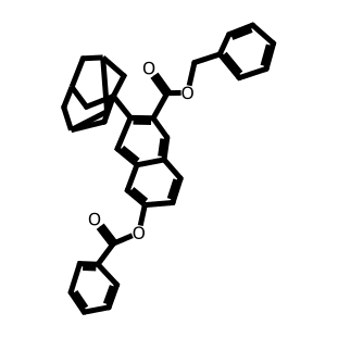 O=C(Oc1ccc2cc(C(=O)OCc3ccccc3)c(C34CC5CC(CC(C5)C3)C4)cc2c1)c1ccccc1